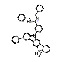 CC12C=CC=CC1c1cc3c(cc1S2)c1cc(-c2ccccc2)ccc1n3-c1cccc(/C(=N/Cc2ccccc2)NCc2ccccc2)c1